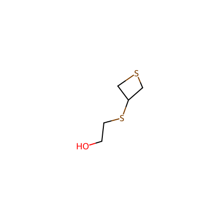 OCCSC1CSC1